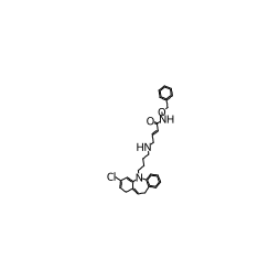 O=C(/C=C/CNCCCCN1C2=CC(Cl)=CCC2=CCc2ccccc21)NOCc1ccccc1